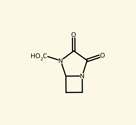 O=C1C(=O)N(C(=O)O)C2CCN12